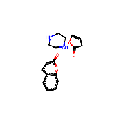 C1CNCCN1.O=C1CC=CO1.O=c1ccc2ccccc2o1